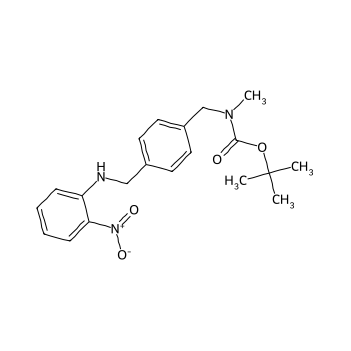 CN(Cc1ccc(CNc2ccccc2[N+](=O)[O-])cc1)C(=O)OC(C)(C)C